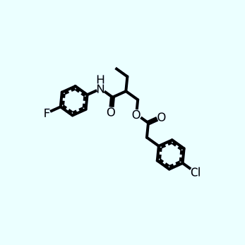 CCC(COC(=O)Cc1ccc(Cl)cc1)C(=O)Nc1ccc(F)cc1